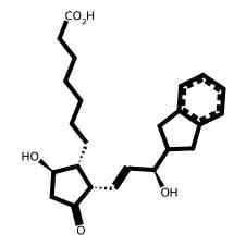 O=C(O)CCCCCC[C@H]1[C@H](O)CC(=O)[C@H]1C=C[C@H](O)C1Cc2ccccc2C1